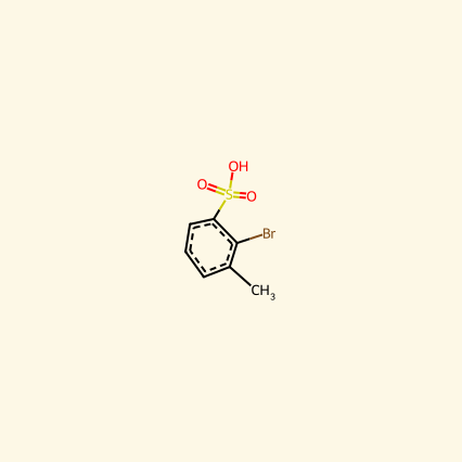 Cc1cccc(S(=O)(=O)O)c1Br